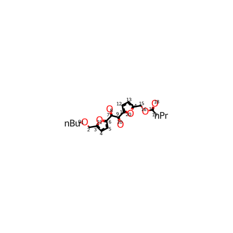 CCCCOCc1ccc(C(=O)C(=O)c2ccc(COC(=O)CCC)o2)o1